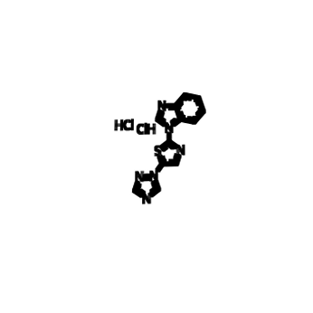 Cl.Cl.c1ccc2c(c1)ncn2-c1ncc(-n2cncn2)s1